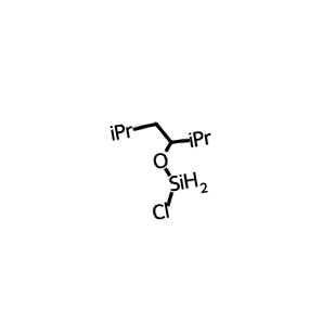 CC(C)CC(O[SiH2]Cl)C(C)C